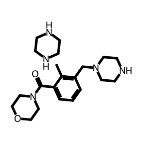 C1CNCCN1.Cc1c(CN2CCNCC2)cccc1C(=O)N1CCOCC1